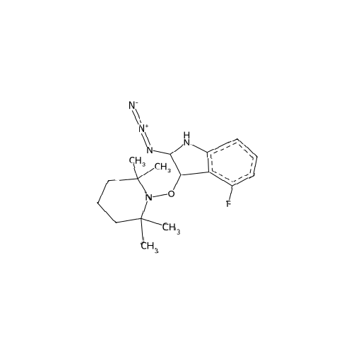 CC1(C)CCCC(C)(C)N1OC1c2c(F)cccc2NC1N=[N+]=[N-]